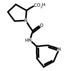 O=C(O)C1CCCN1C(=O)Nc1cccnc1